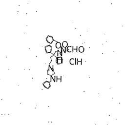 Cl.O=CCN(NCC(CCCN1CCC(Nc2ccccc2)CC1)(c1ccccc1)c1ccccc1)C(=O)OCc1ccccc1